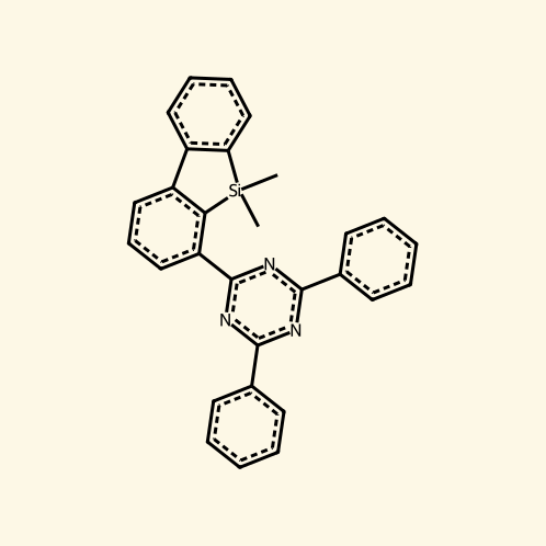 C[Si]1(C)c2ccccc2-c2cccc(-c3nc(-c4ccccc4)nc(-c4ccccc4)n3)c21